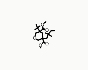 CCC(C)(C)CC1(C(=O)OC)COCC(C(=O)OC)(C(C)(C)C)C1